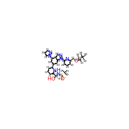 CC(C)(C)[S@@+]([O-])N[C@@](C)(O)c1cccc(-c2cc(-n3cccn3)c3cnn(-c4cccc(CO[Si](C)(C)C(C)(C)C)n4)c3c2)n1